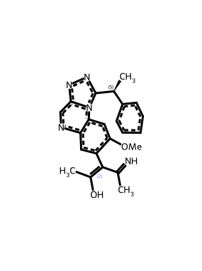 COc1cc2c(cc1/C(C(C)=N)=C(\C)O)ncc1nnc([C@@H](C)c3ccccc3)n12